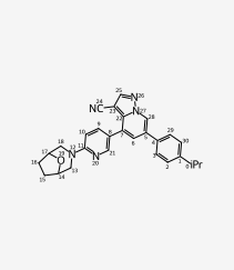 CC(C)c1ccc(-c2cc(-c3ccc(N4CC5CCC(C4)O5)nc3)c3c(C#N)cnn3c2)cc1